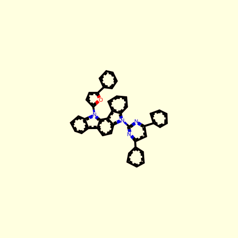 c1ccc(-c2cc(-c3ccccc3)nc(-n3c4ccccc4c4c3ccc3c5ccccc5n(-c5ccc(-c6ccccc6)o5)c34)n2)cc1